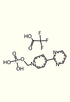 O=C(O)C(F)(F)F.O=P(O)(O)OC[n+]1ccc(-c2ncccn2)cc1